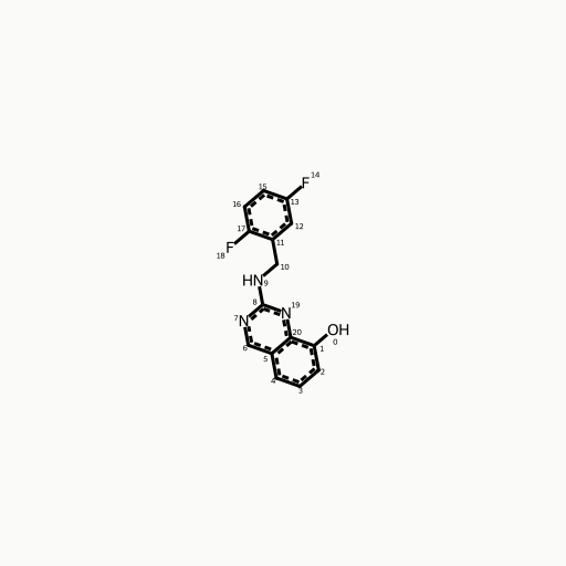 Oc1cccc2cnc(NCc3cc(F)ccc3F)nc12